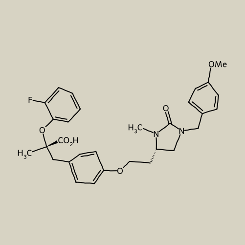 COc1ccc(CN2C[C@H](CCOc3ccc(C[C@](C)(Oc4ccccc4F)C(=O)O)cc3)N(C)C2=O)cc1